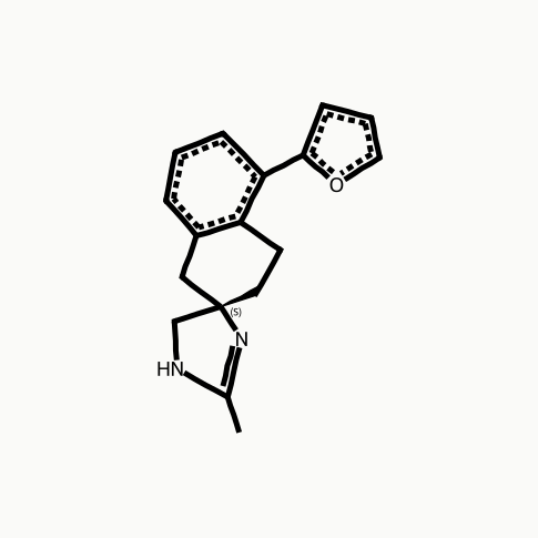 CC1=N[C@]2(CCc3c(cccc3-c3ccco3)C2)CN1